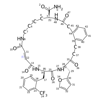 NC(=O)[C@@H]1CCCCNC(=O)/C=C/C(=O)N[C@H](Cc2ccccc2C(F)(F)F)C(=O)N[C@@H](Cc2ccco2)C(=O)CCc2ccccc2CC(=O)N1